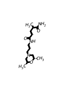 CC1CN(CCCNC(=O)[CH]CC(C)C(N)=O)C[C@H](C)O1